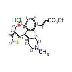 CCOC(=O)/C=C/c1ccc2c(c1)C(=C1CCN(C)CC1)c1sccc1CO2.Cl